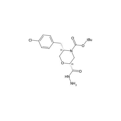 CC(C)(C)OC(=O)N1C[C@H](C(=O)NN)OC[C@@H]1Cc1ccc(Cl)cc1